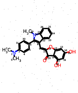 CN(C)c1ccc(-c2c(/C=C3\Oc4cc(O)cc(O)c4C3=O)c3ccccc3n2C)cc1